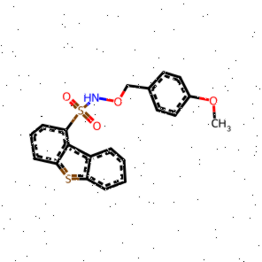 COc1ccc(CONS(=O)(=O)c2cccc3sc4ccccc4c23)cc1